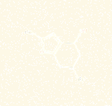 CC(C)C1Cc2oc(C(C)(C)C)cc2C(O)C1